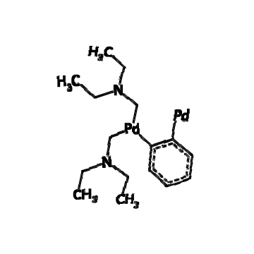 CCN(CC)[CH2][Pd]([CH2]N(CC)CC)[c]1cccc[c]1[Pd]